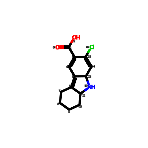 O=C(O)C1=CC2=C3CCCCC3NC2C=C1Cl